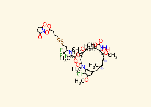 COc1cc2cc(c1Cl)N(C)C(=O)C[C@H](OC(=O)[C@H](C)N(C)C(CCSSCCCC(=O)ON1C(=O)CCC1=O)C(F)(F)F)[C@]1(C)O[C@H]1[C@H](C)[C@@H]1C[C@@](O)(NC(=O)O1)[C@H](OC)/C=C/C=C(\C)C2